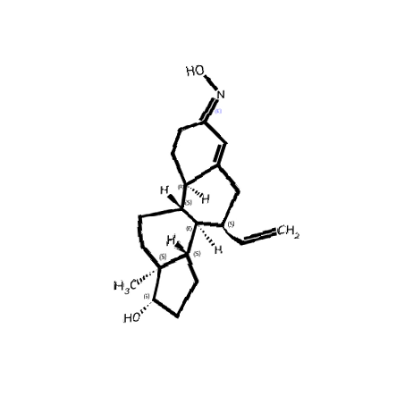 C=C[C@@H]1CC2=C/C(=N/O)CC[C@@H]2[C@H]2CC[C@]3(C)[C@@H](O)CC[C@H]3[C@@H]21